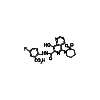 O=C(O)c1cc(F)ccc1CNC(=O)c1nc(N2CCCCS2(=O)=O)c2cccnc2c1O